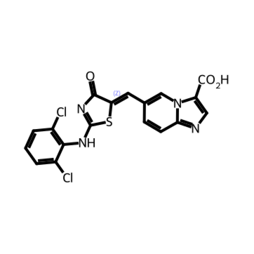 O=C1N=C(Nc2c(Cl)cccc2Cl)S/C1=C\c1ccc2ncc(C(=O)O)n2c1